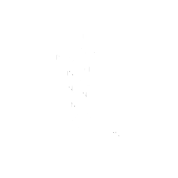 CP(C)(=O)c1cc(F)c(Cl)cc1Nc1nc(Nc2ccc3c(c2)CC[C@@H](N2CCCC2)CC3)ncc1Cl